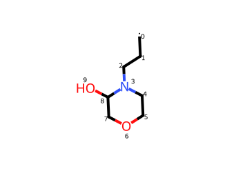 [CH2]CCN1CCOCC1O